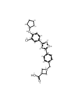 O=C(O)C1CN(Cc2ccc(-c3nc(-c4ccc(OC5CCCC5)c(Cl)c4)no3)cc2)C1